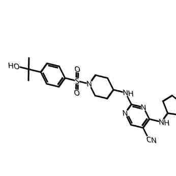 CC(C)(O)c1ccc(S(=O)(=O)N2CCC(Nc3ncc(C#N)c(NC4CCCC4)n3)CC2)cc1